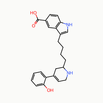 O=C(O)c1ccc2[nH]cc(CCCCC3CC(c4ccccc4O)=CCN3)c2c1